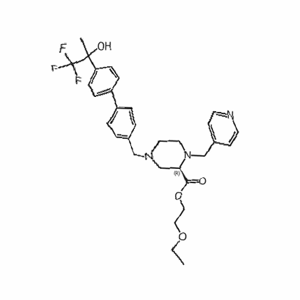 CCOCCOC(=O)[C@H]1CN(Cc2ccc(-c3ccc(C(C)(O)C(F)(F)F)cc3)cc2)CCN1Cc1ccncc1